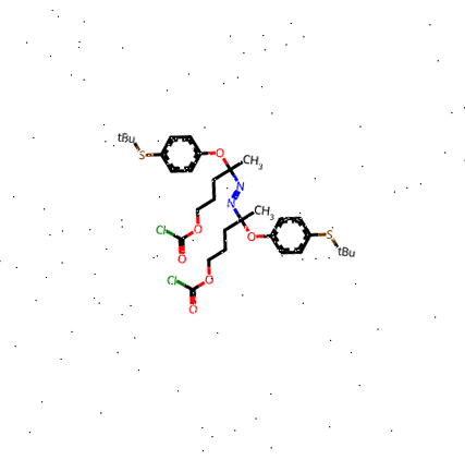 CC(CCCOC(=O)Cl)(N=NC(C)(CCCOC(=O)Cl)Oc1ccc(SC(C)(C)C)cc1)Oc1ccc(SC(C)(C)C)cc1